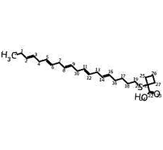 CCC=CCC=CCC=CCC=CCC=CCCCCSC1(C(=O)O)CCC1